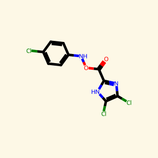 O=C(ONc1ccc(Cl)cc1)c1nc(Cl)c(Cl)[nH]1